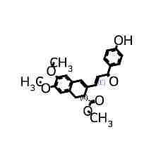 COC(=O)[C@@H]1Cc2cc(OC)c(OC)cc2C=C1/C=C/C(=O)c1ccc(O)cc1